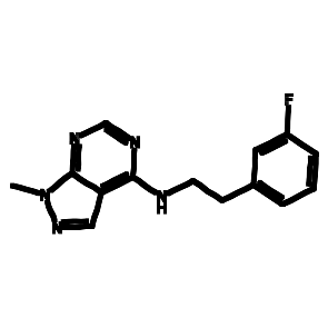 Cn1ncc2c(NCCc3cccc(F)c3)ncnc21